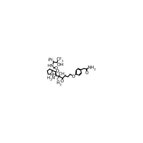 CC(C)C(NC(=O)[C@@]1(C(=O)[C@@H](N)C(C)(C)C(=O)CCCOc2ccc(CC(N)=O)cc2)CCCN1)C(O)C(F)(F)F